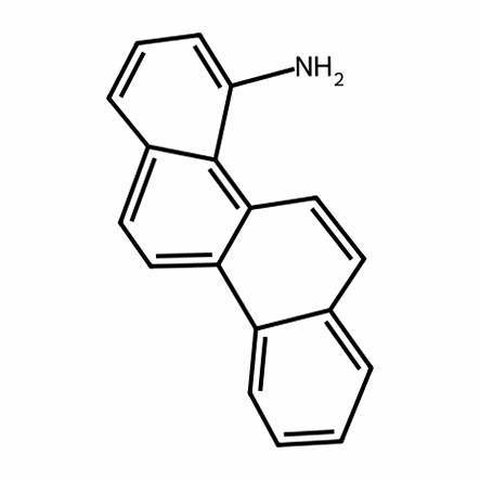 Nc1cccc2ccc3c4ccccc4ccc3c12